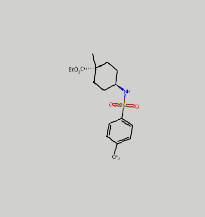 CCOC(=O)[C@]1(C)CC[C@@H](NS(=O)(=O)c2ccc(C(F)(F)F)cc2)CC1